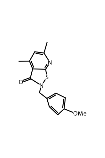 COc1ccc(Cn2sc3nc(C)cc(C)c3c2=O)cc1